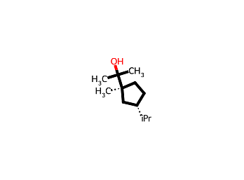 CC(C)[C@H]1CC[C@](C)(C(C)(C)O)C1